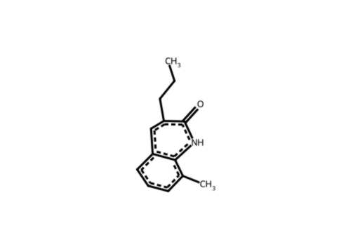 CCCc1cc2cccc(C)c2[nH]c1=O